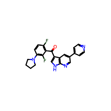 O=C(c1c(F)ccc(N2CCCC2)c1F)c1c[nH]c2ncc(-c3ccncc3)cc12